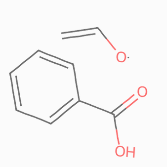 C=C[O].O=C(O)c1ccccc1